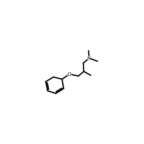 CC(COC1C=CC=CC1)CN(C)C